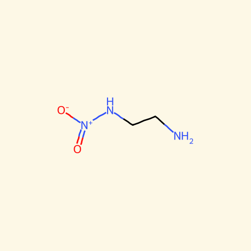 NCCN[N+](=O)[O-]